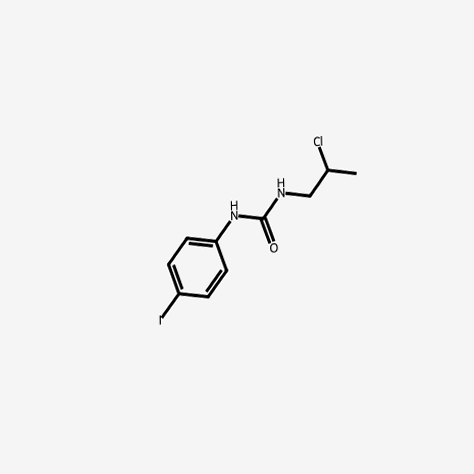 CC(Cl)CNC(=O)Nc1ccc(I)cc1